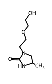 CC1CN(CCOCCO)C(=O)N1